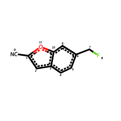 N#Cc1cc2ccc(CF)cc2o1